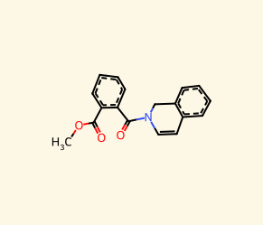 COC(=O)c1ccccc1C(=O)N1C=Cc2ccccc2C1